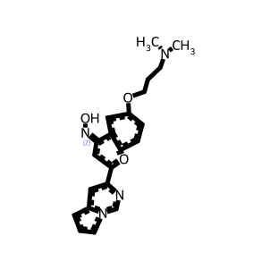 CN(C)CCCOc1ccc2oc(-c3cc4cccn4cn3)c/c(=N/O)c2c1